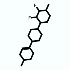 CC1CC=C(C2CCC(C3CCC(C)C(F)C3F)CC2)CC1